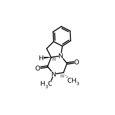 C[C@H]1C(=O)N2c3ccccc3C[C@H]2C(=O)N1C